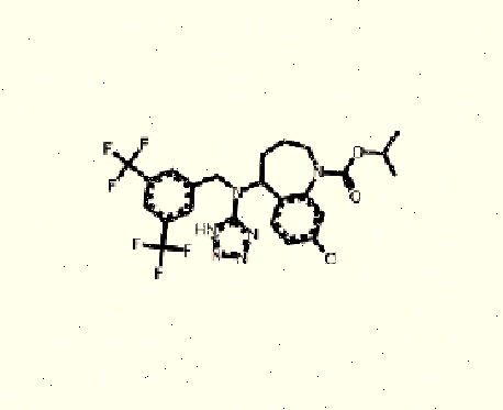 CC(C)OC(=O)N1CCCC(N(Cc2cc(C(F)(F)F)cc(C(F)(F)F)c2)c2nnn[nH]2)c2ccc(Cl)cc21